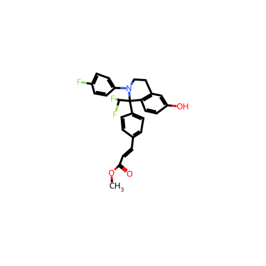 COC(=O)C=Cc1ccc(C2(C(F)F)c3ccc(O)cc3CCN2c2ccc(F)cc2)cc1